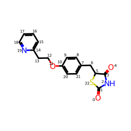 O=C1NC(=O)C(Cc2ccc(OCCc3ccccn3)cc2)S1